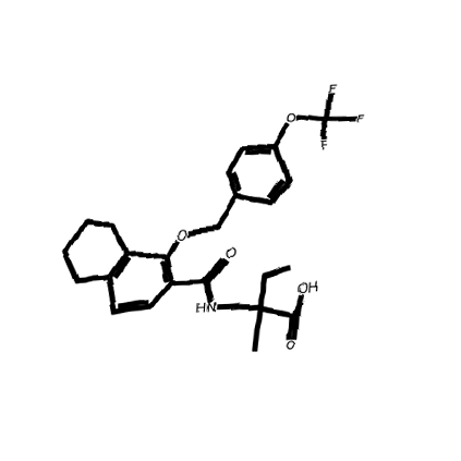 CCC(C)(NC(=O)c1ccc2c(c1OCc1ccc(OC(F)(F)F)cc1)CCCC2)C(=O)O